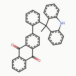 CC1(c2ccccc2-c2ccc3c(c2)C(=O)c2ccccc2C3=O)c2ccccc2Nc2ccccc21